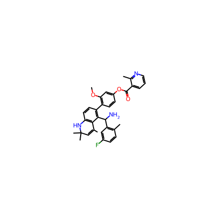 COc1cc(OC(=O)c2cccnc2C)ccc1-c1ccc2c(c1C(N)c1cc(F)ccc1C)C(C)=CC(C)(C)N2